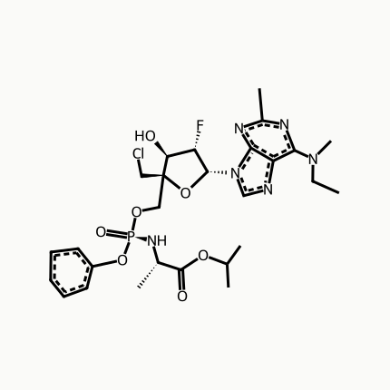 CCN(C)c1nc(C)nc2c1ncn2[C@@H]1O[C@](CCl)(CO[P@](=O)(N[C@@H](C)C(=O)OC(C)C)Oc2ccccc2)[C@@H](O)[C@@H]1F